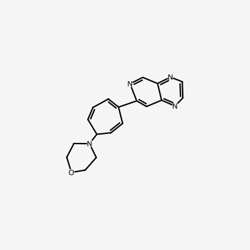 C1=CC(N2CCOCC2)C=CC(c2cc3nccnc3cn2)=C1